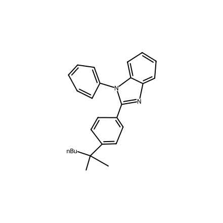 CCCCC(C)(C)c1ccc(-c2nc3ccccc3n2-c2ccccc2)cc1